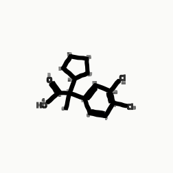 CC(C(=O)O)(c1ccc(Cl)c(Cl)c1)C1CCCC1